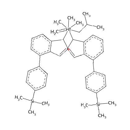 [CH2]=[Hf]([CH3])([CH3])([CH3])([CH2]C(C)C)([CH]1C=Cc2c(-c3ccc([Si](C)(C)C)cc3)cccc21)[CH]1C=Cc2c(-c3ccc([Si](C)(C)C)cc3)cccc21